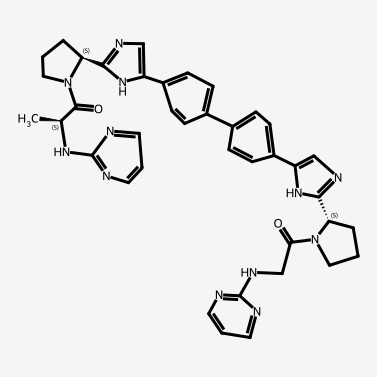 C[C@H](Nc1ncccn1)C(=O)N1CCC[C@H]1c1ncc(-c2ccc(-c3ccc(-c4cnc([C@@H]5CCCN5C(=O)CNc5ncccn5)[nH]4)cc3)cc2)[nH]1